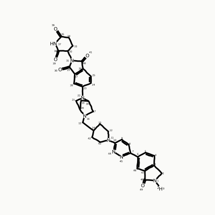 [2H]N1Cc2ccc(-c3ccc(N4CCC(CN5CC6CC5CN6c5ccc6c(c5)C(=O)N(C5CCC(=O)NC5=O)C6=O)CC4)nn3)cc2C1=O